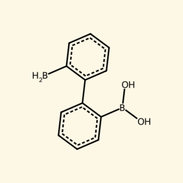 Bc1ccccc1-c1ccccc1B(O)O